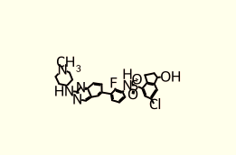 CN1CCC(Nc2ncc3cc(-c4cccc(NS(=O)(=O)c5cc(Cl)cc6c5CCC6O)c4F)ccc3n2)CC1